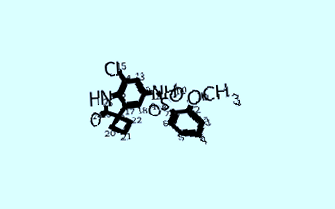 COc1ccccc1S(=O)(=O)Nc1cc(Cl)c2c(c1)C1(CCC1)C(=O)N2